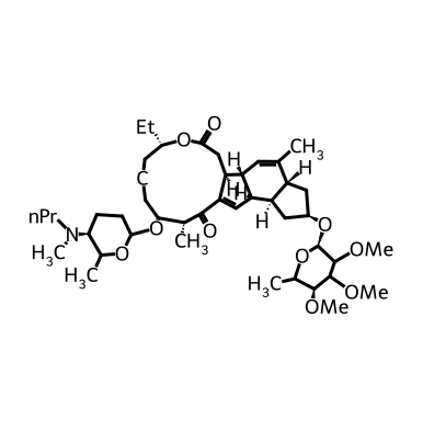 CCCN(C)[C@H]1CCC(O[C@H]2CCC[C@H](CC)OC(=O)C[C@@H]3C(=C[C@@H]4[C@H]3C=C(C)[C@@H]3C[C@@H](O[C@@H]5OC(C)[C@H](OC)C(OC)C5OC)C[C@@H]43)C(=O)[C@@H]2C)OC1C